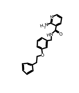 Nc1ncccc1C(=O)NCc1cccc(OCCc2ccccc2)c1